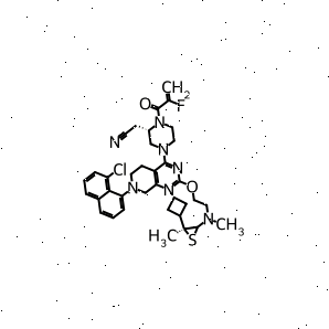 C=C(F)C(=O)N1CCN(c2nc(OCCN(C)C3S[C@@]3(C)C3CCC3)nc3c2CCN(c2cccc4cccc(Cl)c24)C3)C[C@@H]1CC#N